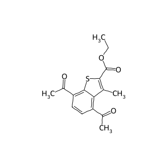 CCOC(=O)c1sc2c(C(C)=O)ccc(C(C)=O)c2c1C